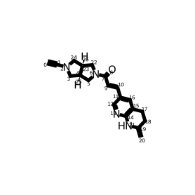 C#CN1C[C@@H]2CN(C(=O)/C=C/c3cnc4c(c3)CCC(=C)N4)C[C@@H]2C1